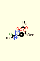 CCCCCCCCCCCCOC(=O)C(C)COC(=O)Nc1ccccc1-c1nn2nc(C(C)(C)C)c(Cl)c2[nH]1